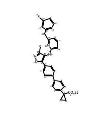 CCOC(=O)C1(c2ccc(-c3ccc(-c4onc(C)c4Nc4cccc(Cc5cccc(F)c5)n4)cc3)cc2)CC1